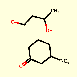 CC(O)CCO.O=C1CCCC([N+](=O)[O-])C1